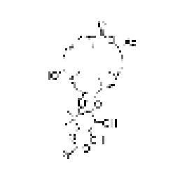 CC[C@H]1/C=C(\C)[C@@H](O)C/C=C/C=C(\C)C(=O)O[C@H](C(C)=O)C/C=C(C)/C=C(\C)[C@@H]1O[C@@H]1OC(C)(C)[C@@H](OC(=O)C(C)C)[C@H](O)[C@@H]1O